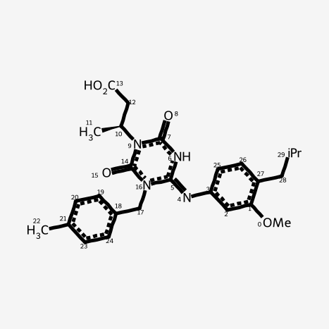 COc1cc(/N=c2\[nH]c(=O)n([C@@H](C)CC(=O)O)c(=O)n2Cc2ccc(C)cc2)ccc1CC(C)C